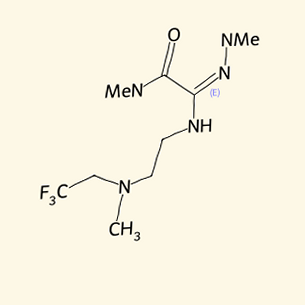 CN/N=C(/NCCN(C)CC(F)(F)F)C(=O)NC